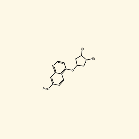 CCC1CC(Oc2ccnc3cc(OC)ccc23)CN1CC